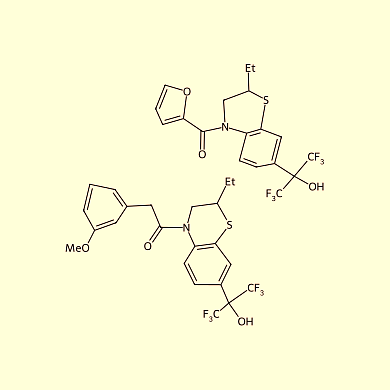 CCC1CN(C(=O)Cc2cccc(OC)c2)c2ccc(C(O)(C(F)(F)F)C(F)(F)F)cc2S1.CCC1CN(C(=O)c2ccco2)c2ccc(C(O)(C(F)(F)F)C(F)(F)F)cc2S1